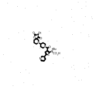 CCN1C(=O)OC2(CCCN(C3CCN(C(=O)c4cc(-c5cccnc5)sc4N(C(=O)O)C(C)(C)C)CC3)C2)C1=O